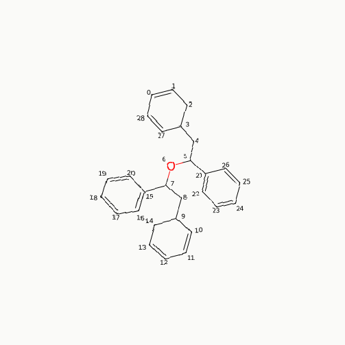 C1=CCC(CC(OC(CC2C=CC=CC2)c2ccccc2)c2ccccc2)C=C1